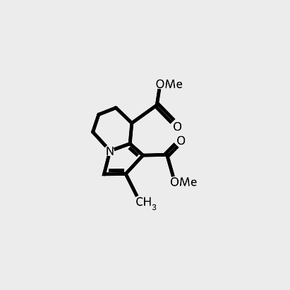 COC(=O)c1c(C)cn2c1C(C(=O)OC)CCC2